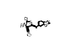 O=C1NC(=O)/C(=C/c2ccc3ncsc3c2)S1